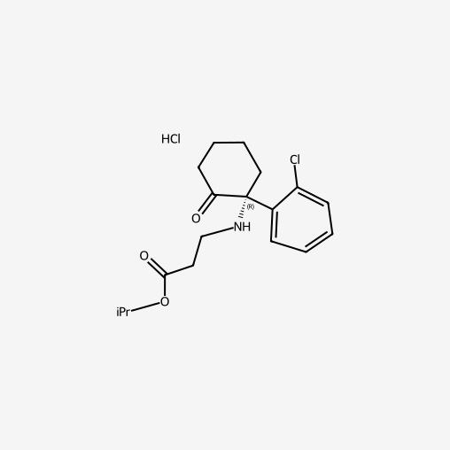 CC(C)OC(=O)CCN[C@@]1(c2ccccc2Cl)CCCCC1=O.Cl